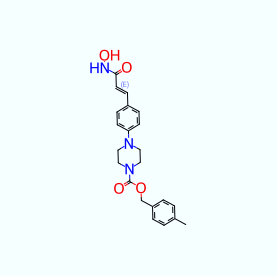 Cc1ccc(COC(=O)N2CCN(c3ccc(/C=C/C(=O)NO)cc3)CC2)cc1